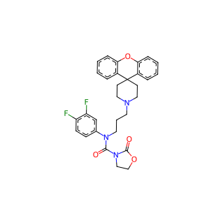 O=C1OCCN1C(=O)N(CCCN1CCC2(CC1)c1ccccc1Oc1ccccc12)c1ccc(F)c(F)c1